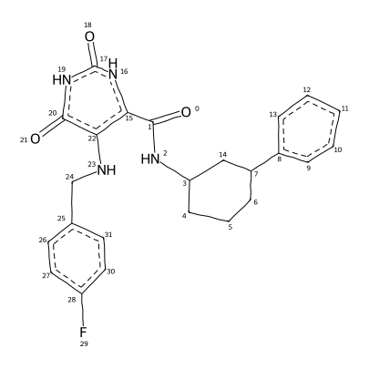 O=C(NC1CCCC(c2ccccc2)C1)c1[nH]c(=O)[nH]c(=O)c1NCc1ccc(F)cc1